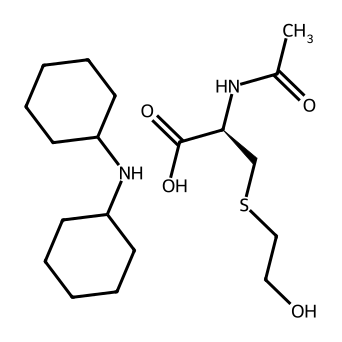 C1CCC(NC2CCCCC2)CC1.CC(=O)N[C@@H](CSCCO)C(=O)O